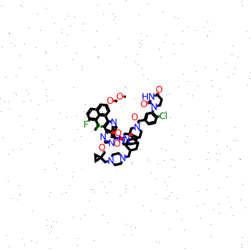 CCc1c(F)ccc2cc(OCOC)cc(-c3ncc4c(N5CC6CCC(C5)N6C(=O)OC(C)(C)C)nc(OCC5(CN6CCN(CC7CCC8(CC7)CCN(C(=O)c7ccc(Cl)c(N9CCC(=O)NC9=O)c7)CC8)CC6)CC5)nc4c3F)c12